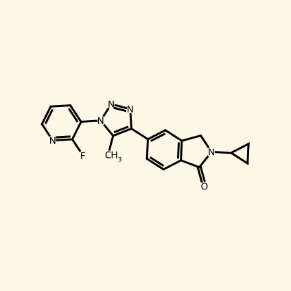 Cc1c(-c2ccc3c(c2)CN(C2CC2)C3=O)nnn1-c1cccnc1F